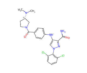 CN(C)[C@H]1CCN(C(=O)c2ccc(Nc3cn(-c4c(Cl)cccc4Cl)nc3C(N)=O)cc2)C1